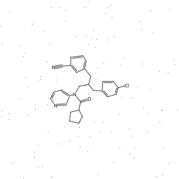 N#Cc1cccc(CC(Cc2ccc(Cl)cc2)CN(C(=O)C2CCCC2)c2cccnc2)c1